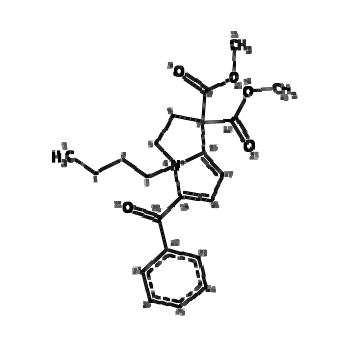 CCCC[N+]12CCC(C(=O)OC)(C(=O)OC)C1=CC=C2C(=O)c1ccccc1